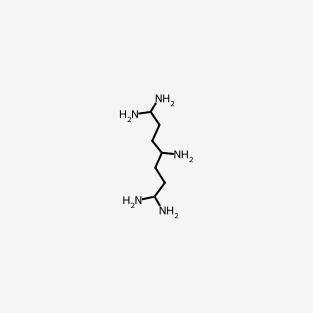 NC(N)CCC(N)CCC(N)N